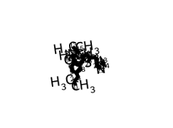 CC(C)Cc1ccc(S(=O)(=O)NC(C)(C)C)c(-c2ccc(Cn3ccnc3)s2)c1